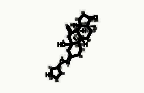 C=C1CC2(O)CC(=NOC3CCNC3)CC[C@]2(C)[C@@H]2CC[C@]3(C)C(=O)CC[C@H]3[C@H]12